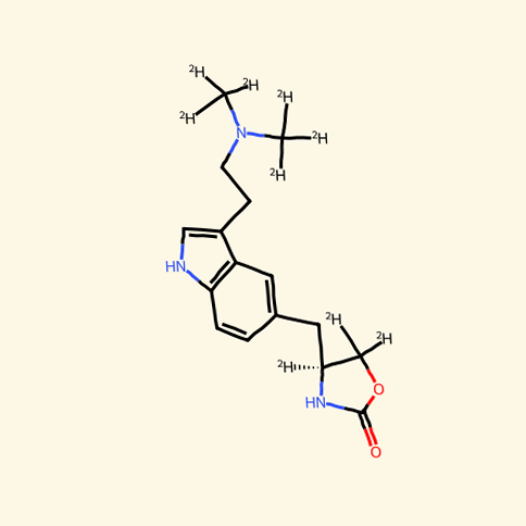 [2H]C([2H])([2H])N(CCc1c[nH]c2ccc(C[C@]3([2H])NC(=O)OC3([2H])[2H])cc12)C([2H])([2H])[2H]